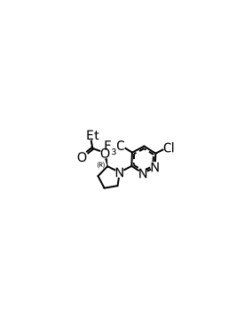 CCC(=O)O[C@@H]1CCCN1c1nnc(Cl)cc1C(F)(F)F